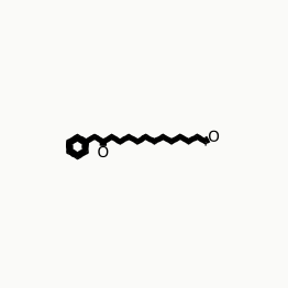 O=[C]CCCCCCCCCCCC(=O)Cc1ccccc1